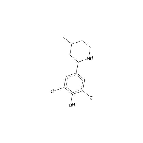 CC1CCNC(c2cc(Cl)c(O)c(Cl)c2)C1